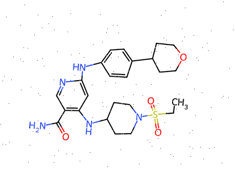 CCS(=O)(=O)N1CCC(Nc2cc(Nc3ccc(C4CCOCC4)cc3)ncc2C(N)=O)CC1